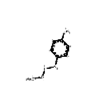 COOOSc1ccc(C)cc1